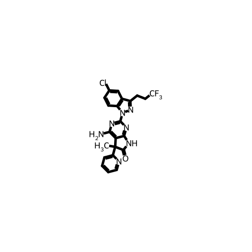 CC1(c2ccccn2)C(=O)Nc2nc(-n3nc(CCC(F)(F)F)c4cc(Cl)ccc43)nc(N)c21